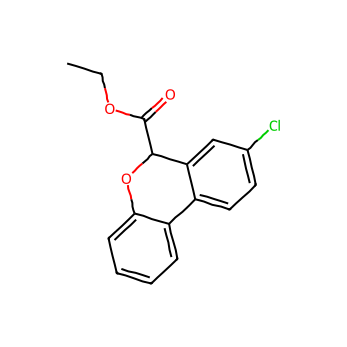 CCOC(=O)C1Oc2ccccc2-c2ccc(Cl)cc21